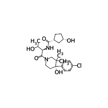 CC(O)[C@@H](NC(=O)[C@@H]1CC[C@H](O)C1)C(=O)N1CC[C@](O)(c2ccc(Cl)cc2)C(C)(C)C1